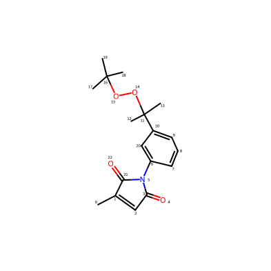 CC1=CC(=O)N(c2cccc(C(C)(C)OOC(C)(C)C)c2)C1=O